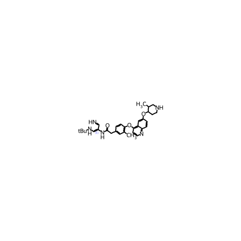 Cc1cc(CC(=O)N/C(C=N)=C/NC(C)(C)C)ccc1Oc1ccnc2ccc(OC3CCNCC3C)cc12